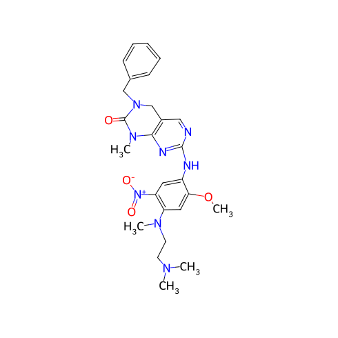 COc1cc(N(C)CCN(C)C)c([N+](=O)[O-])cc1Nc1ncc2c(n1)N(C)C(=O)N(Cc1ccccc1)C2